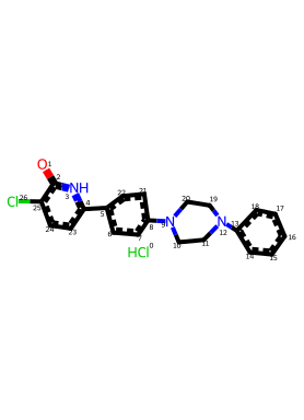 Cl.O=c1[nH]c(-c2ccc(N3CCN(c4ccccc4)CC3)cc2)ccc1Cl